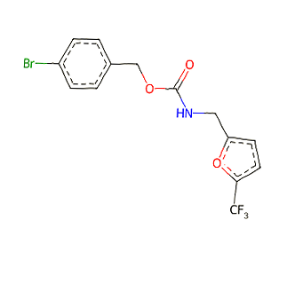 O=C(NCc1ccc(C(F)(F)F)o1)OCc1ccc(Br)cc1